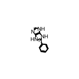 [c]1nc2c([nH]1)NN(c1ccccc1)N2